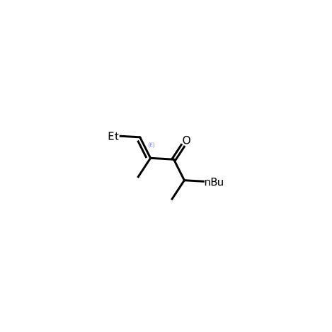 CC/C=C(\C)C(=O)C(C)CCCC